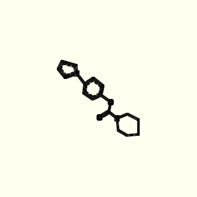 O=C(Oc1ccc(-n2cccc2)cc1)N1CCCCC1